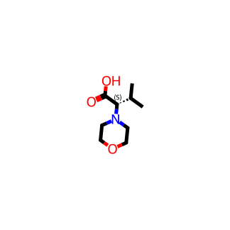 CC(C)[C@@H](C(=O)O)N1CCOCC1